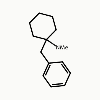 CNC1(Cc2ccccc2)CCCCC1